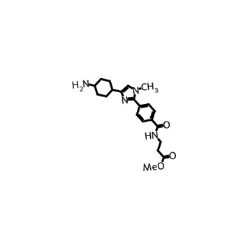 COC(=O)CCNC(=O)c1ccc(-c2nc(C3CCC(N)CC3)cn2C)cc1